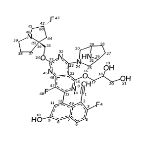 C#Cc1c(F)ccc2cc(O)cc(-c3nc(OCC(O)CO)c4c(N5CC6CCC(C5)N6)nc(OC[C@@]56CCCN5C[C@H](F)C6)nc4c3F)c12